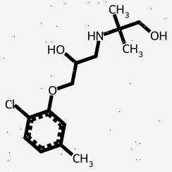 Cc1ccc(Cl)c(OCC(O)CNC(C)(C)CO)c1